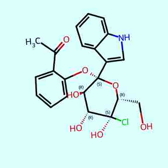 CC(=O)c1ccccc1O[C@]1(c2c[nH]c3ccccc23)O[C@H](CO)[C@@](O)(Cl)[C@H](O)[C@H]1O